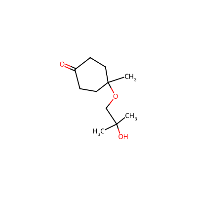 CC(C)(O)COC1(C)CCC(=O)CC1